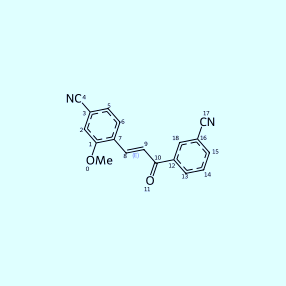 COc1cc(C#N)ccc1/C=C/C(=O)c1cccc(C#N)c1